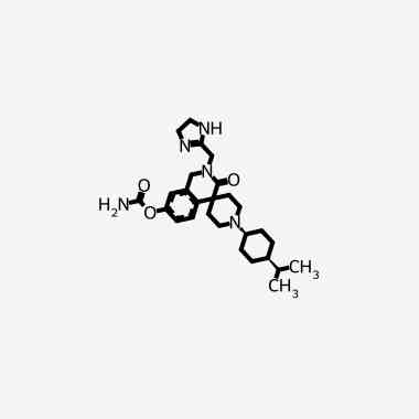 CC(C)[C@H]1CC[C@@H](N2CCC3(CC2)C(=O)N(CC2=NCCN2)Cc2cc(OC(N)=O)ccc23)CC1